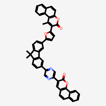 Cc1c(-c2ccc(-c3ccc4c(c3)-c3cc(-c5cnc(-c6cc7ccc8ccccc8c7oc6=O)cn5)ccc3C4(C)C)o2)c(=O)oc2ccc3ccccc3c12